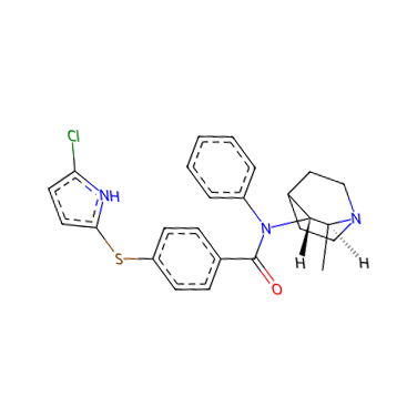 C[C@H]1[C@H](N(C(=O)c2ccc(Sc3ccc(Cl)[nH]3)cc2)c2ccccc2)C2CCN1CC2